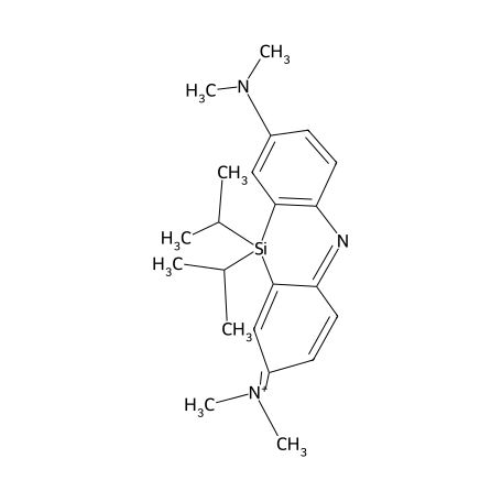 CC(C)[Si]1(C(C)C)C2=CC(=[N+](C)C)C=CC2=Nc2ccc(N(C)C)cc21